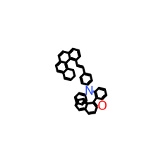 C1=Cc2ccc3ccc4cccc(C=Cc5ccc(N(c6ccccc6)c6cccc7oc8ccc9ccccc9c8c67)cc5)c4c3c2CC1